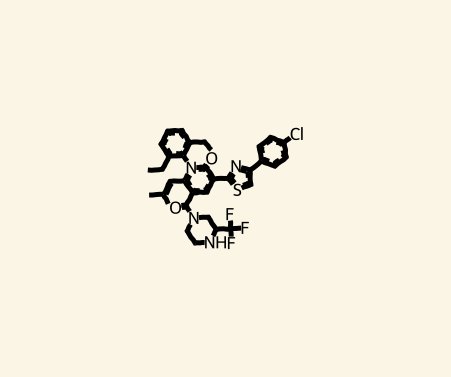 CCc1cccc(CC)c1-n1c(C=C(C)C)c(C(=O)N2CCNC(C(F)(F)F)C2)cc(-c2nc(-c3ccc(Cl)cc3)cs2)c1=O